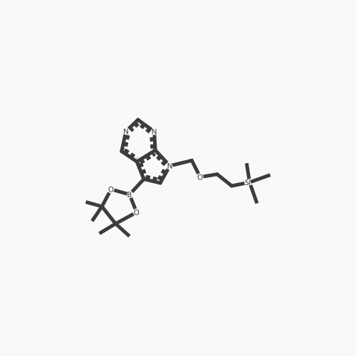 CC1(C)OB(c2cn(COCC[Si](C)(C)C)c3ncncc23)OC1(C)C